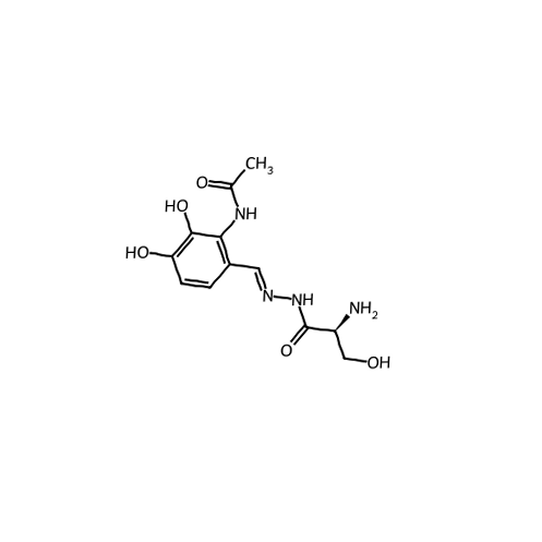 CC(=O)Nc1c(C=NNC(=O)[C@@H](N)CO)ccc(O)c1O